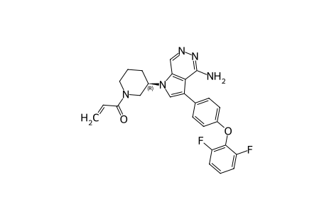 C=CC(=O)N1CCC[C@@H](n2cc(-c3ccc(Oc4c(F)cccc4F)cc3)c3c(N)nncc32)C1